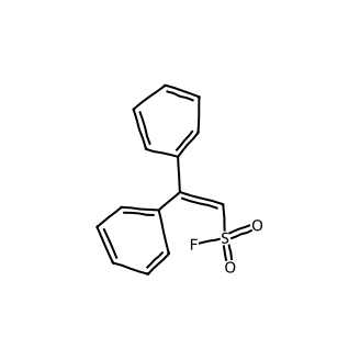 O=S(=O)(F)C=C(c1ccccc1)c1ccccc1